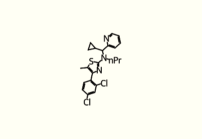 CCCN(c1nc(-c2ccc(Cl)cc2Cl)c(C)s1)C(c1ccccn1)C1CC1